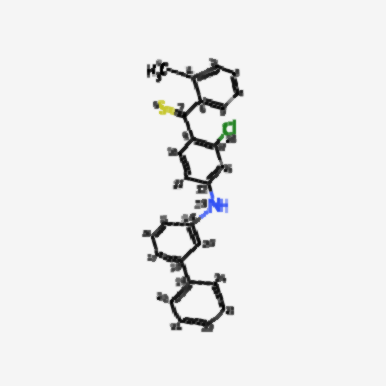 Cc1ccccc1C(=S)c1ccc(Nc2cccc(-c3ccccc3)c2)cc1Cl